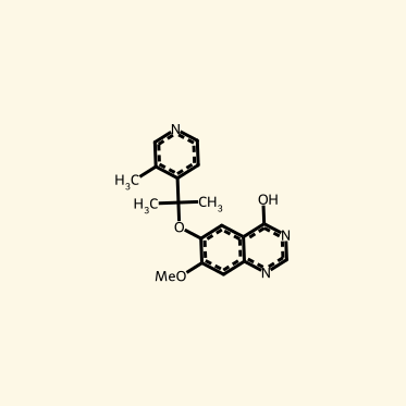 COc1cc2ncnc(O)c2cc1OC(C)(C)c1ccncc1C